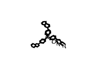 c1ccc2cc(-c3ccc(N(c4ccc(-c5ccc6ccccc6c5)cc4)c4ccc5c(c4)oc4nc6cnccc6cc45)cc3)ccc2c1